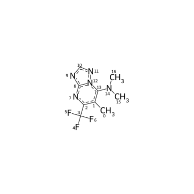 Cc1c(C(F)(F)F)nc2ncnn2c1N(C)C